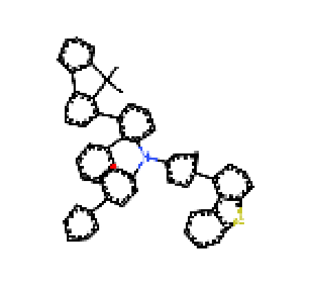 CC1(C)c2ccccc2-c2cccc(-c3cccc(N(c4ccc(-c5ccccc5)cc4)c4ccc(-c5cccc6sc7ccccc7c56)cc4)c3-c3ccccc3)c21